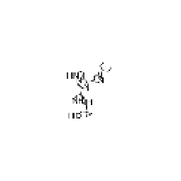 CCC(CC)n1cc(C2=NC(/C(C=N)=C/NCC3(CO)CC3)=CN3NCC=C23)cn1